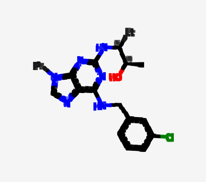 CC[C@H](Nc1nc(NCc2cccc(Cl)c2)c2ncn(C(C)C)c2n1)[C@@H](C)O